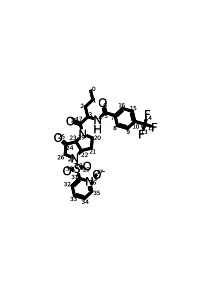 CCCC(NC(=O)c1ccc(C(F)(F)F)cc1)C(=O)N1CCC2C1C(=O)CN2S(=O)(=O)c1cccc[n+]1[O-]